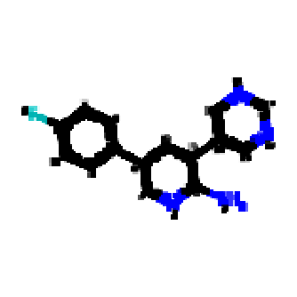 Nc1ncc(-c2ccc(F)cc2)cc1-c1cncnc1